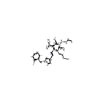 CCCCn1c(/C=C/c2cnn(Cc3ccccc3F)c2)c([N+](=O)[O-])c(=O)n(CCCC)c1=O